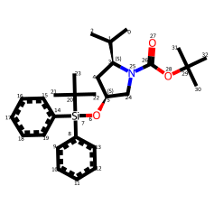 CC(C)[C@@H]1C[C@H](O[Si](c2ccccc2)(c2ccccc2)C(C)(C)C)CN1C(=O)OC(C)(C)C